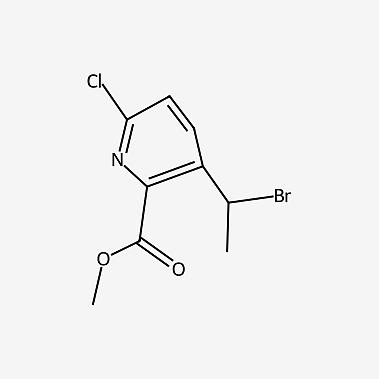 COC(=O)c1nc(Cl)ccc1C(C)Br